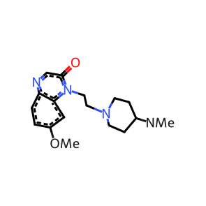 CNC1CCN(CCn2c(=O)cnc3ccc(OC)cc32)CC1